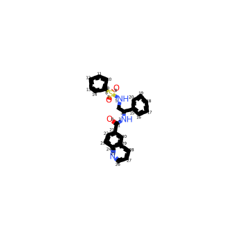 O=C(NC(CNS(=O)(=O)c1ccccc1)c1ccccc1)c1ccc2ncccc2c1